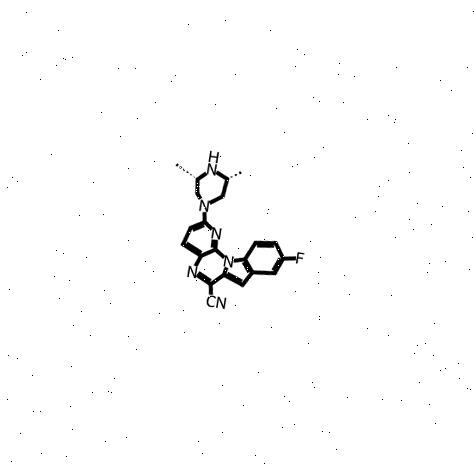 C[C@@H]1CN(c2ccc3nc(C#N)c4cc5cc(F)ccc5n4c3n2)C[C@H](C)N1